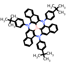 CC(C)(C)c1ccc(N2c3cc4ccccc4c4c3B3c5c(cc6ccccc6c52)N(c2ccc(C(C)(C)C)cc2)c2c3c(cc3ccccc23)N4c2ccc(C(C)(C)C)cc2)cc1